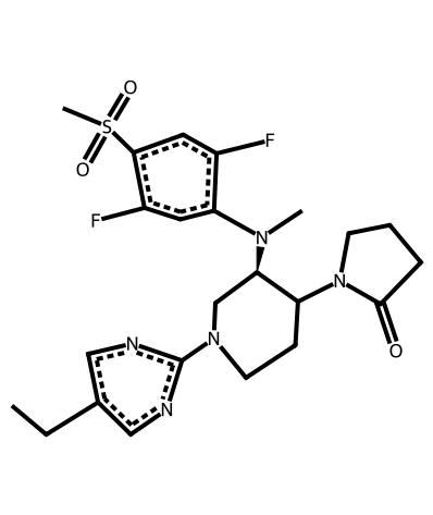 CCc1cnc(N2CCC(N3CCCC3=O)[C@H](N(C)c3cc(F)c(S(C)(=O)=O)cc3F)C2)nc1